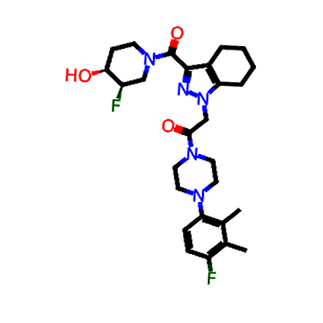 Cc1c(F)ccc(N2CCN(C(=O)Cn3nc(C(=O)N4CC[C@H](O)[C@H](F)C4)c4c3CCCC4)CC2)c1C